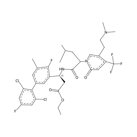 CCOC(=O)C[C@H](NC(=O)C(CC(C)C)n1cc(CCN(C)C)c(C(F)(F)F)cc1=O)c1cc(-c2c(Cl)cc(F)cc2Cl)cc(C)c1F